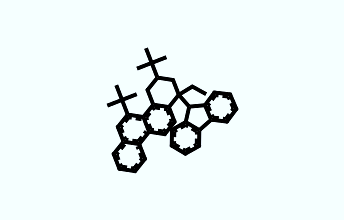 CCC1(C2c3ccccc3-c3ccccc32)CC(C(C)(C)C)Cc2c1ccc1c2c(C(C)(C)C)cc2ccccc21